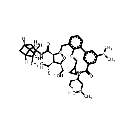 CC(C)C[C@H](CN(C)C)NC(=O)c1cc(-c2cccc(CN3O[C@@H](CO)[C@@H]([C@H](C)O)[C@H]3C(=O)N[C@H]3C[C@H]4C[C@@H]([C@@H]3C)C4(C)C)c2OCC2CC2)cc(N(C)C)c1